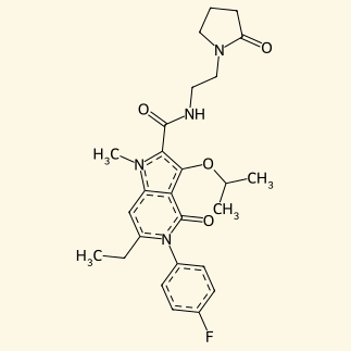 CCc1cc2c(c(OC(C)C)c(C(=O)NCCN3CCCC3=O)n2C)c(=O)n1-c1ccc(F)cc1